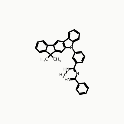 CN/C(=N\C(=N)c1ccccc1)c1cccc(-n2c3ccccc3c3cc4c(cc32)C(C)(C)c2ccccc2-4)c1